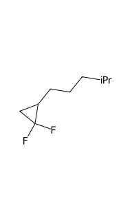 CC(C)CCCC1CC1(F)F